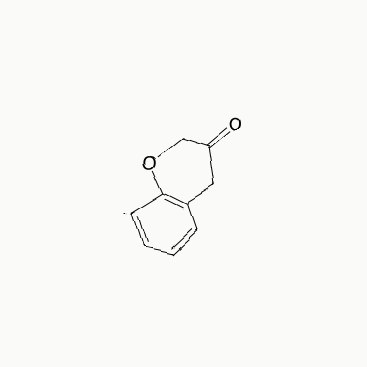 O=C1COc2[c]cccc2C1